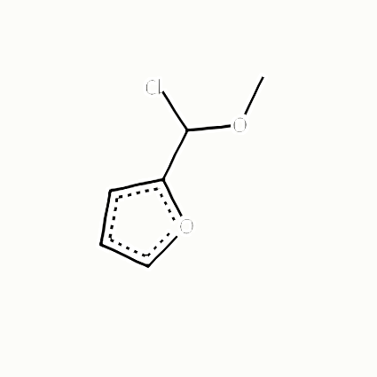 COC(Cl)c1ccco1